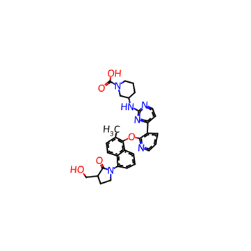 Cc1ccc2c(N3CCC(CO)C3=O)cccc2c1Oc1ncccc1-c1ccnc(NC2CCCN(C(=O)O)C2)n1